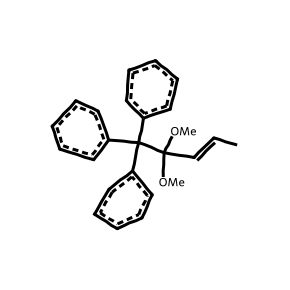 CC=CC(OC)(OC)C(c1ccccc1)(c1ccccc1)c1ccccc1